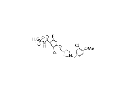 COc1ccc(CN2CCC(COc3cc(F)c(C(=O)NS(C)(=O)=O)cc3C3CC3)CC2)cc1Cl